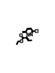 C=C1C=CC(Cl)=NN1/C(=C\C)C(=O)OCC